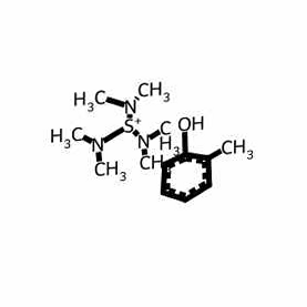 CN(C)[S+](N(C)C)N(C)C.Cc1ccccc1O